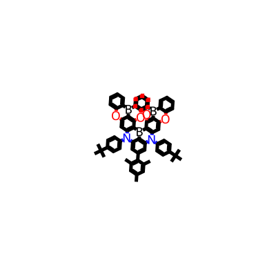 Cc1cc(C)c(-c2cc3c4c(c2)N(c2ccc(C(C)(C)C)cc2)c2cc5c6c(c2B4c2c(cc4c7c2Oc2ccccc2B7c2ccccc2O4)N3c2ccc(C(C)(C)C)cc2)Oc2ccccc2B6c2ccccc2O5)c(C)c1